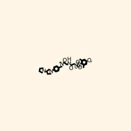 COc1cc(C)c(S(=O)(=O)N(C)CC(=O)NCC(=O)N(C)Cc2ccc(N3CCC(N4CCCC4)C3)cc2)c(C)c1